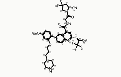 COc1ccc(-c2ccc3nccc(C(=O)NCC(=O)N4CC(F)(F)C[C@H]4C#N)c3c2)c(OCCCN2CCNCC2)c1.O=C(O)C(F)(F)F